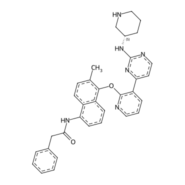 Cc1ccc2c(NC(=O)Cc3ccccc3)cccc2c1Oc1ncccc1-c1ccnc(N[C@H]2CCCNC2)n1